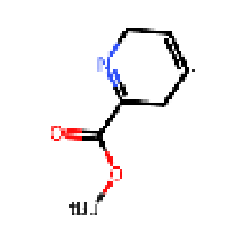 CC(C)(C)OC(=O)C1=NCC=[C]C1